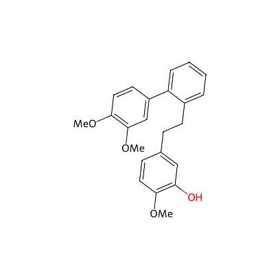 COc1ccc(CCc2ccccc2-c2ccc(OC)c(OC)c2)cc1O